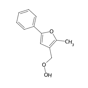 Cc1oc(-c2ccccc2)cc1COO